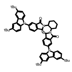 CC(C)(C)c1ccc2c(c1)c1cc(C(C)(C)C)ccc1n2-c1ccc2c(c1)C(=O)N(C1CCCCC1N1C(=O)c3ccc(-n4c5ccc(C(C)(C)C)cc5c5cc(C(C)(C)C)ccc54)cc3C1=O)C2=O